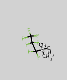 C[Si](C)(C)C(F)(F)C(F)(F)C(F)(F)F